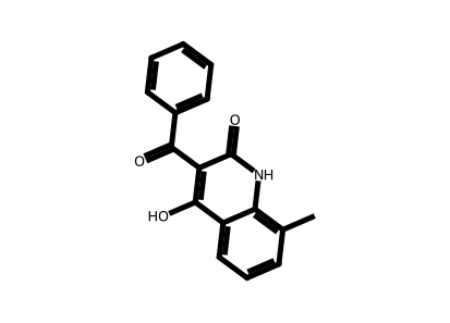 Cc1cccc2c(O)c(C(=O)c3ccccc3)c(=O)[nH]c12